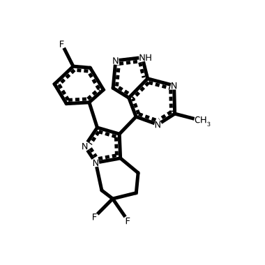 Cc1nc(-c2c(-c3ccc(F)cc3)nn3c2CCC(F)(F)C3)c2cn[nH]c2n1